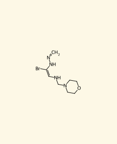 C=NN/C(Br)=C\NCN1CCOCC1